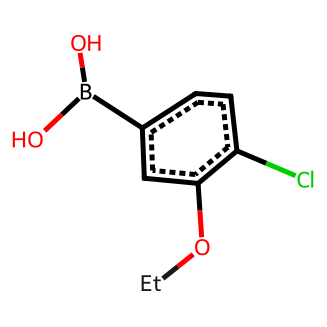 CCOc1cc(B(O)O)ccc1Cl